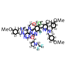 COc1ccc(CNc2ncncc2[C@@H](C)N2CCOc3c(Cl)c(-c4nc(N(Cc5ccc(OC)cc5)Cc5ccc(OC)cc5)cc(C)c4C(F)(F)F)c(F)c4nc(OC[C@@H]5CCCN5CC(F)F)nc2c34)cc1